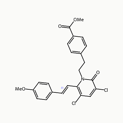 COC(=O)c1ccc(CCn2c(/C=C/c3ccc(OC)cc3)c(Cl)cc(Cl)c2=O)cc1